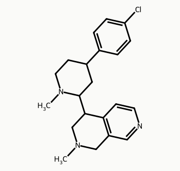 CN1Cc2cnccc2C(C2CC(c3ccc(Cl)cc3)CCN2C)C1